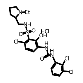 CCN1CCCC1CNS(=O)(=O)c1c(Cl)ccc(NC(=O)Nc2cccc(Cl)c2Cl)c1O.Cl